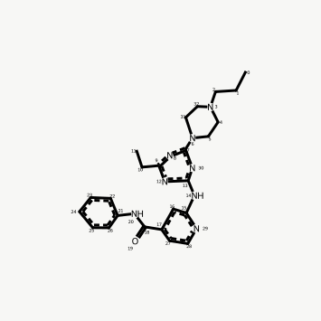 CCCN1CCN(c2nc(CC)nc(Nc3cc(C(=O)Nc4ccccc4)ccn3)n2)CC1